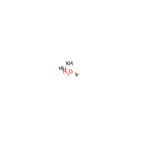 O.[Ir].[KH].[LiH]